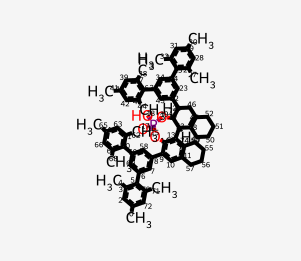 Cc1cc(C)c(-c2cc(-c3cc4c(c5c3OP(=O)(O)O[C@@H]3C(c6cc(-c7c(C)cc(C)cc7C)cc(-c7c(C)cc(C)cc7C)c6)CC6=C(CCCC6)[C@H]53)CCCC4)cc(-c3c(C)cc(C)cc3C)c2)c(C)c1